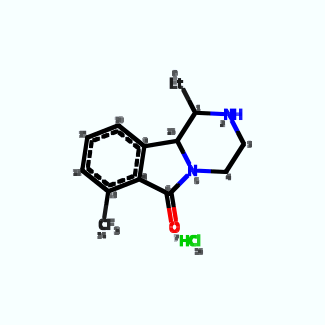 CCC1NCCN2C(=O)c3c(cccc3C(F)(F)F)C12.Cl